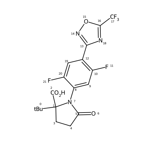 CC(C)(C)C1(C(=O)O)CCC(=O)N1c1cc(F)c(-c2noc(C(F)(F)F)n2)cc1F